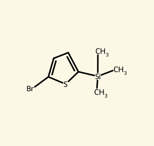 C[Si](C)(C)c1ccc(Br)s1